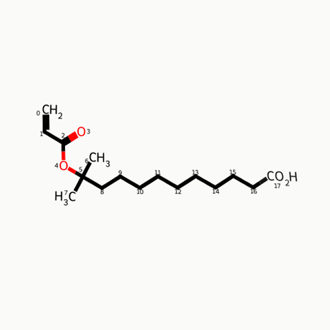 C=CC(=O)OC(C)(C)CCCCCCCCCC(=O)O